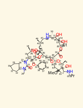 CCCNC[C@]1(O)[C@H](C)O[C@@H](O[C@H]2[C@H](C)[C@@H](O[C@@H]3O[C@H](C)C[C@H](N(C)C(=O)N(C)C4CCCCC4)[C@H]3Oc3ccccc3)[C@](C)(O)C[C@@H](C)CN[C@H](C)[C@@H](O)[C@](C)(O)[C@@H](CC)OC(=O)[C@@H]2C)C[C@@]1(C)OC